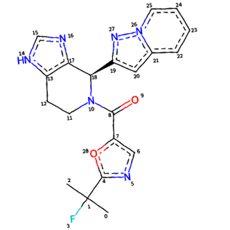 CC(C)(F)c1ncc(C(=O)N2CCc3[nH]cnc3[C@H]2c2cc3ccccn3n2)o1